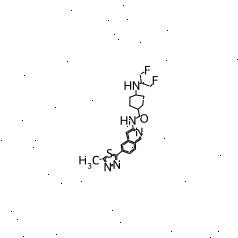 Cc1nnc(-c2ccc3cnc(NC(=O)C4CCC(NC(CF)CF)CC4)cc3c2)s1